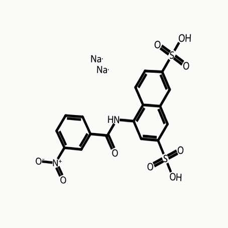 O=C(Nc1cc(S(=O)(=O)O)cc2cc(S(=O)(=O)O)ccc12)c1cccc([N+](=O)[O-])c1.[Na].[Na]